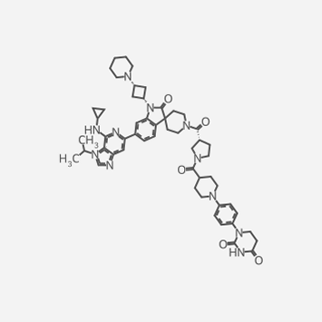 CC(C)n1cnc2cc(-c3ccc4c(c3)N([C@H]3C[C@@H](N5CCCCC5)C3)C(=O)C43CCN(C(=O)[C@@H]4CCN(C(=O)C5CCN(c6ccc(N7CCC(=O)NC7=O)cc6)CC5)C4)CC3)nc(NC3CC3)c21